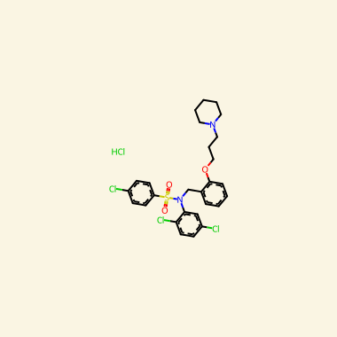 Cl.O=S(=O)(c1ccc(Cl)cc1)N(Cc1ccccc1OCCCN1CCCCC1)c1cc(Cl)ccc1Cl